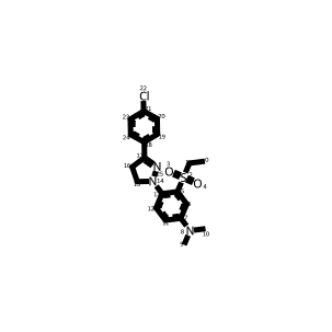 CCS(=O)(=O)c1cc(N(C)C)ccc1N1CCC(c2ccc(Cl)cc2)=N1